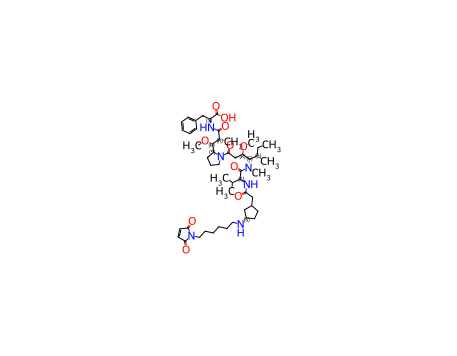 CC[C@H](C)[C@@H]([C@@H](CC(=O)N1CCC[C@H]1[C@H](OC)[C@@H](C)C(=O)N[C@@H](Cc1ccccc1)C(=O)O)OC)N(C)C(=O)[C@@H](NC(=O)CC1CC[C@H](NCCCCCCN2C(=O)C=CC2=O)C1)C(C)C